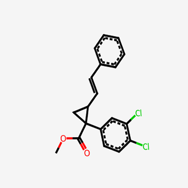 COC(=O)C1(c2ccc(Cl)c(Cl)c2)CC1/C=C/c1ccccc1